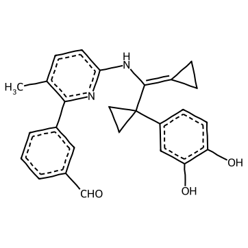 Cc1ccc(NC(=C2CC2)C2(c3ccc(O)c(O)c3)CC2)nc1-c1cccc(C=O)c1